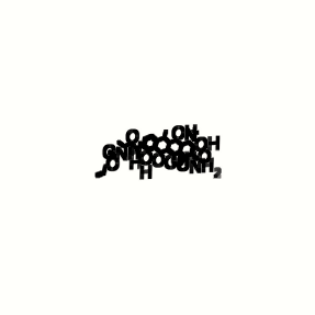 C=CCOC(=O)NC(C)C(=O)Nc1ccc2c(c1O)C(=O)C1=C(O)[C@]3(O)C(=O)C(C(N)=O)=C(O)[C@@H](N(C)C)C3C(O)C1C2C